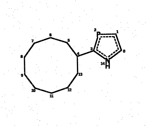 c1cpc(C2CCCCCCCCC2)[nH]1